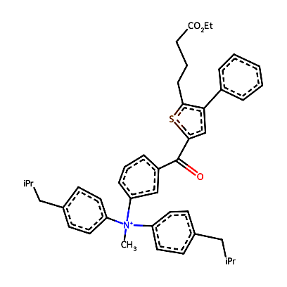 CCOC(=O)CCCc1sc(C(=O)c2cccc([N+](C)(c3ccc(CC(C)C)cc3)c3ccc(CC(C)C)cc3)c2)cc1-c1ccccc1